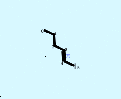 [CH2]CC/C=C/I